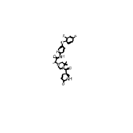 C[C@@H](C(=O)Nc1ccc(Oc2ccc(F)cc2F)cn1)N1CCN(C(=O)c2ccc(=O)[nH]c2)C(C)(C)C1